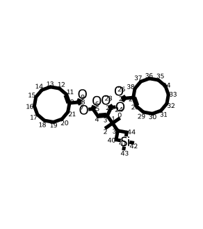 CC(C)(/C(=C/C(=O)OC(=O)/C1=C/CCCCCCCCCC1)C(=O)OC(=O)/C1=C/CCCCCCCCCC1)C1C[Si](C)(C)C1